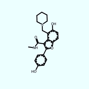 CNC(=O)c1c(-c2ccc(O)cc2)oc2ccc(O)c(CN3CCCCC3)c12